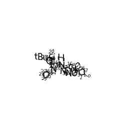 Cc1ccc(S(=O)(=O)n2ccc3c(N[C@@H]4C[C@@H](O[Si](C)(C)C(C)(C)C)CN(Cc5ccccc5)C4)ncnc32)cc1